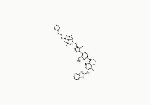 Cc1c(Nc2nc3ccccc3s2)nnc2c1CCCN2c1ccc(-c2cnn(CC34CC5(C)CC6(OCCN7CCCC7)CC(C)(C3)C56C4)c2C)c(CO)n1